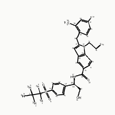 [2H]C([2H])([2H])C([2H])([2H])S(=O)(=O)c1ccc([C@H](CO)NC(=O)c2ccc3c(c2)cc(Cc2ccc(F)cc2C(F)(F)F)n3CCF)cc1